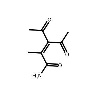 CC(=O)C(C(C)=O)=C(C)C(N)=O